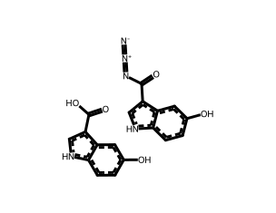 O=C(O)c1c[nH]c2ccc(O)cc12.[N-]=[N+]=NC(=O)c1c[nH]c2ccc(O)cc12